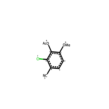 COc1ccc(C#N)c(Cl)c1OC(C)=O